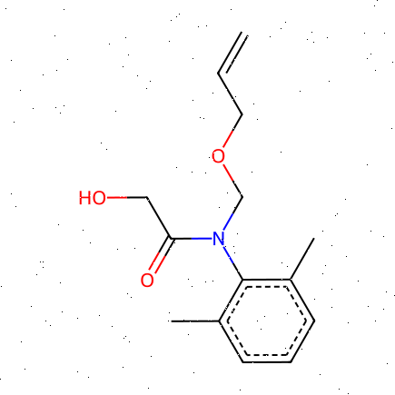 C=CCOCN(C(=O)CO)c1c(C)cccc1C